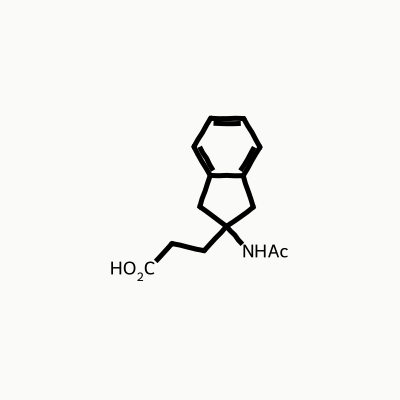 CC(=O)NC1(CCC(=O)O)Cc2ccccc2C1